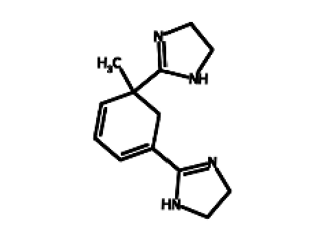 CC1(C2=NCCN2)C=CC=C(C2=NCCN2)C1